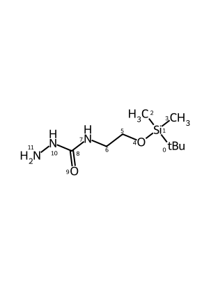 CC(C)(C)[Si](C)(C)OCCNC(=O)NN